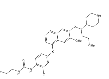 COCCC(Oc1cc2nccc(Oc3ccc(NC(=O)NCCC(C)(C)C)c(Cl)c3)c2cc1OC)C1CCNCC1